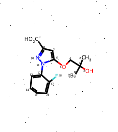 CC(C)(C)C(C)(O)COc1cc(C(=O)O)nn1-c1ccccc1F